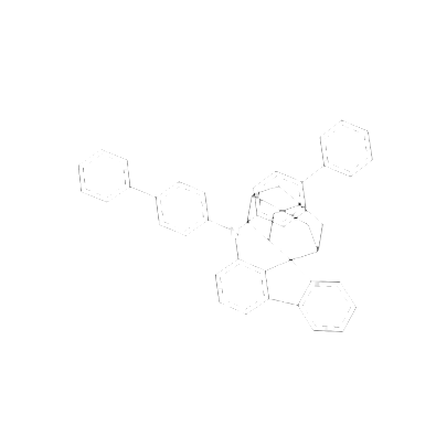 c1ccc(-c2ccc(N(c3ccc(-c4ccccc4)cc3)c3cccc4c3C3(c5ccccc5-4)C4CC5CC(C4)CC3C5)cc2)cc1